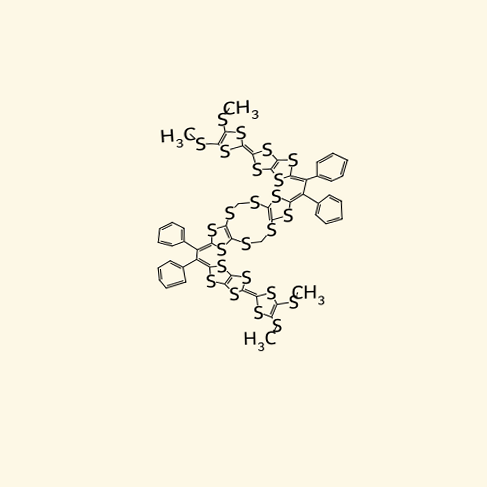 CSC1=C(SC)SC(=C2SC3=C(S2)SC(=C(C(=C2SC4=C(SCSC5=C(SCS4)SC(=C(C(=C4SC6=C(SC(=C7SC(SC)=C(SC)S7)S6)S4)c4ccccc4)c4ccccc4)S5)S2)c2ccccc2)c2ccccc2)S3)S1